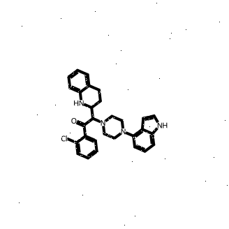 O=C(c1ccccc1Cl)C(C1CCc2ccccc2N1)N1CCN(c2cccc3[nH]ccc23)CC1